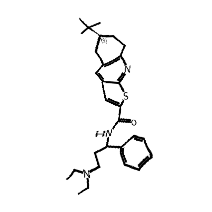 CCN(CC)CCC(NC(=O)c1cc2cc3c(nc2s1)CC[C@H](C(C)(C)C)C3)c1ccccc1